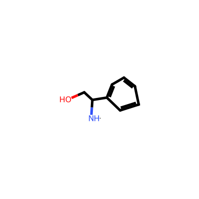 [NH]C(CO)c1ccccc1